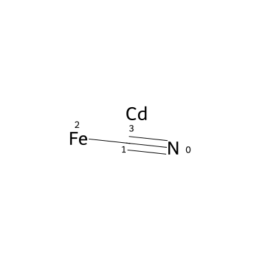 N#[C][Fe].[Cd]